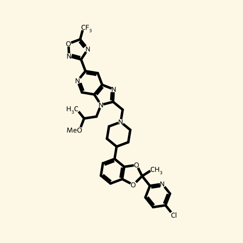 COC(C)Cn1c(CN2CCC(c3cccc4c3OC(C)(c3ccc(Cl)cn3)O4)CC2)nc2cc(-c3noc(C(F)(F)F)n3)ncc21